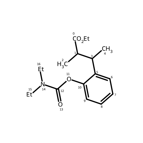 CCOC(=O)C(C)C(C)c1ccccc1OC(=O)N(CC)CC